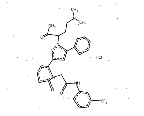 CN(C)CCC(C(N)=O)n1nc(-c2cccc(=O)n2CC(=O)Nc2cccc(C(F)(F)F)c2)cc1-c1ccccc1.Cl